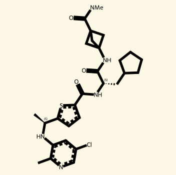 CNC(=O)C12CC(NC(=O)[C@H](CC3CCCC3)NC(=O)c3ccc([C@H](C)Nc4cc(Cl)cnc4C)s3)(C1)C2